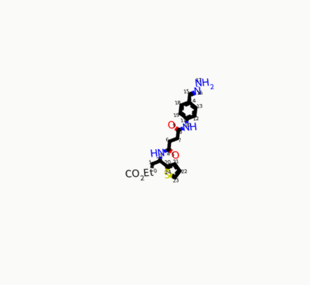 CCOC(=O)CC(NC(=O)CCC(=O)Nc1ccc(C=NN)cc1)c1cccs1